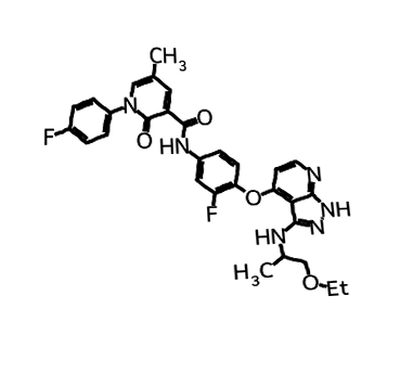 CCOCC(C)Nc1n[nH]c2nccc(Oc3ccc(NC(=O)c4cc(C)cn(-c5ccc(F)cc5)c4=O)cc3F)c12